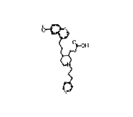 COc1ccc2nccc(CCCC3CCN(CCCc4ccncc4)CC3CCC(=O)O)c2c1